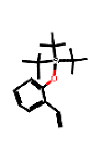 C=Cc1ccccc1O[Si](C(C)(C)C)(C(C)(C)C)C(C)(C)C